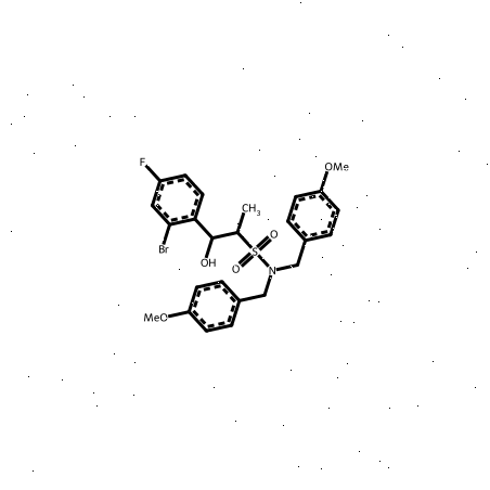 COc1ccc(CN(Cc2ccc(OC)cc2)S(=O)(=O)C(C)C(O)c2ccc(F)cc2Br)cc1